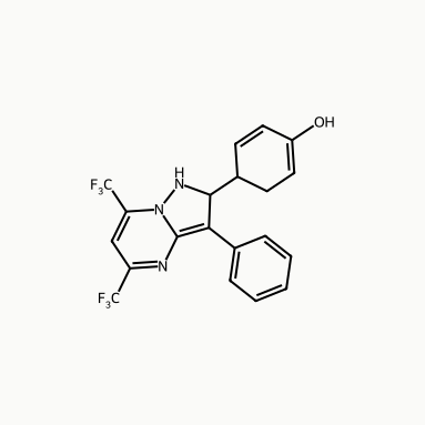 OC1=CCC(C2NN3C(C(F)(F)F)=CC(C(F)(F)F)=NC3=C2c2ccccc2)C=C1